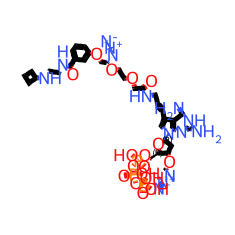 [N-]=[N+]=NCOC1C[C@H](n2cc(C#CCNC(=O)COCCOC(COc3cccc(C(=O)NCCNC4CCC4)c3)N=[N+]=[N-])c3c2N=C(N)NC3N)O[C@@H]1COP(=O)(O)OP(=O)(O)OP(=O)(O)O